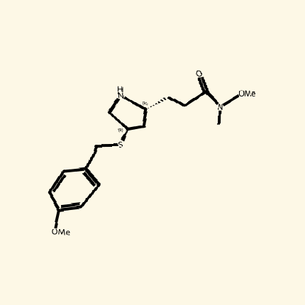 COc1ccc(CS[C@H]2CN[C@H](CCC(=O)N(C)OC)C2)cc1